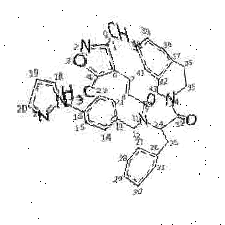 Cc1noc(C)c1C=CC(=O)N(Cc1ccc(-n2cccn2)cc1)C(Cc1ccccc1)C(=O)N1CCc2ccccc2C1